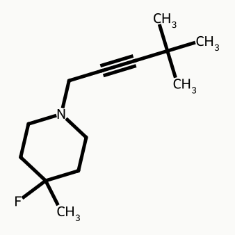 CC(C)(C)C#CCN1CCC(C)(F)CC1